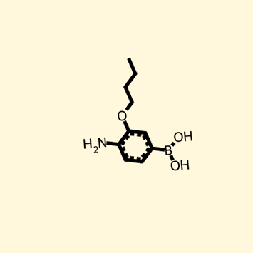 CCCCOc1cc(B(O)O)ccc1N